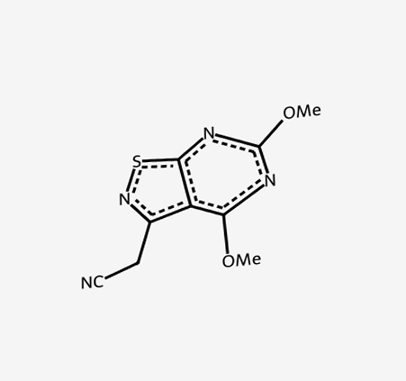 COc1nc(OC)c2c(CC#N)nsc2n1